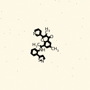 Cc1cc(C(C)Nc2ccccc2-c2ccns2)c2oc(-c3cccnc3)c(C)c(=O)c2c1